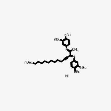 CCCCCCCCCCCCCCCCCCCC#CC(=N\c1ccc(CCCC)c(CCCC)c1)/C(C)=N/c1ccc(CCCC)c(CCCC)c1.[Ni]